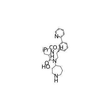 CC(C)CC(NC(=O)O)C(=O)N(CCc1cccc(-c2ccccn2)c1)C1CCCNC[C@@H]1O